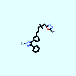 CCn1nc(-c2ccccc2)c(-c2cccc(/C=C/CC(C)(C)Cc3nnc(C(C)C)o3)c2)n1